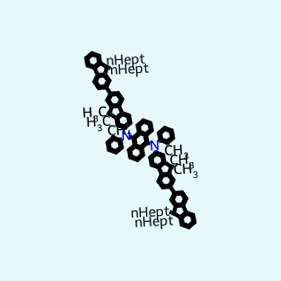 CCCCCCCC1(CCCCCCC)c2ccccc2-c2ccc(-c3ccc4c(c3)C(C)(C)c3cc(N(c5ccccc5C)c5c6ccccc6c(N(c6ccc7c(c6)C(C)(C)c6cc(-c8ccc9c(c8)C(CCCCCCC)(CCCCCCC)c8ccccc8-9)ccc6-7)c6ccccc6C)c6ccccc56)ccc3-4)cc21